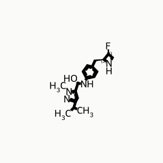 CC(C)c1cc(C(O)Nc2ccc(C[C@@H]3NC[C@@H]3F)cc2)n(C)n1